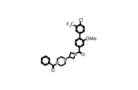 COc1cc(C(=O)N2CC(N3CCN(C(=O)c4ccccc4)CC3)C2)ccc1-c1ccc(Cl)c(C(F)(F)F)c1